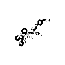 CN(CCN(C)C1(OC(=O)C(O)(c2cccs2)c2cccs2)CCCCC1)C(=O)COc1ccc(CO)cc1